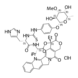 CC[C@@]1(OC(=O)[C@@H](NC(=O)[C@H](Cc2c[nH]cn2)NC(=S)Nc2ccc(O[C@H]3O[C@@H](C)[C@@H](O)[C@@H](OC)[C@@H]3O)cc2)C(C)C)C(=O)OCc2c1cc1n(c2=O)Cc2cc3ccccc3nc2-1.Cl